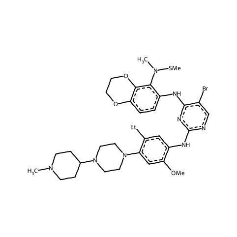 CCc1cc(Nc2ncc(Br)c(Nc3ccc4c(c3N(C)SC)OCCO4)n2)c(OC)cc1N1CCN(C2CCN(C)CC2)CC1